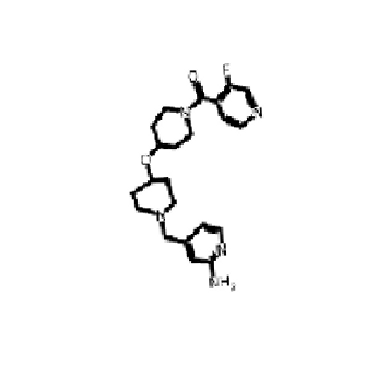 Nc1cc(CN2CCC(OC3CCN(C(=O)c4ccncc4F)CC3)CC2)ccn1